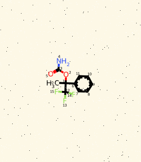 CC(OC(N)=O)(c1ccccc1)C(F)(F)F